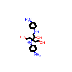 Nc1ccc(NCC(O)C(CCO)(CCO)Nc2ccc(N)cc2)cc1